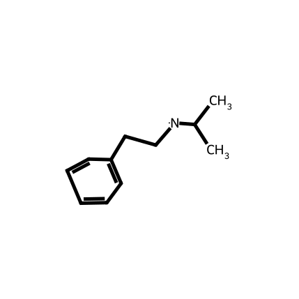 CC(C)[N]CCc1ccccc1